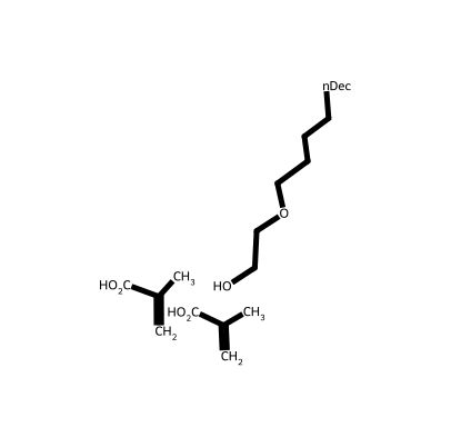 C=C(C)C(=O)O.C=C(C)C(=O)O.CCCCCCCCCCCCCCOCCO